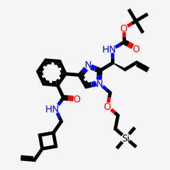 C=CC[C@H](NC(=O)OC(C)(C)C)c1nc(-c2ccccc2C(=O)NCC2CC(C=C)C2)cn1COCC[Si](C)(C)C